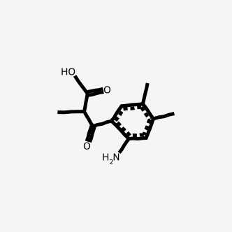 Cc1cc(N)c(C(=O)C(C)C(=O)O)cc1C